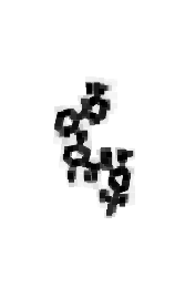 CNc1ncnc(-c2cccnc2Oc2ccc(F)c(C(=O)Nc3cc(C(F)(F)F)ccc3OC)c2)n1